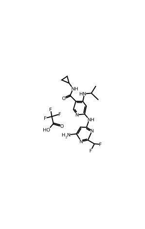 CC(C)Nc1cc(Nc2cc(N)nc(C(F)F)n2)ncc1C(=O)NC1CC1.O=C(O)C(F)(F)F